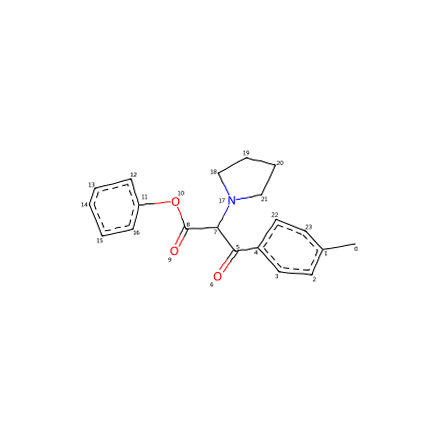 Cc1ccc(C(=O)C(C(=O)Oc2ccccc2)N2CCCC2)cc1